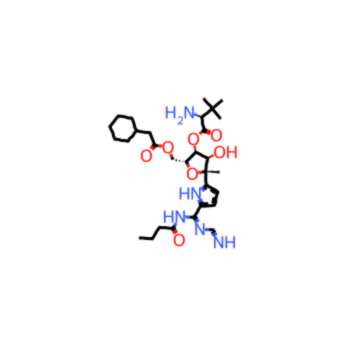 CCCC(=O)N/C(=N/C=N)c1ccc([C@]2(C)O[C@H](COC(=O)CC3CCCCC3)[C@@H](OC(=O)[C@@H](N)C(C)(C)C)[C@H]2O)[nH]1